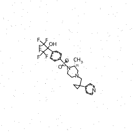 C[C@@H]1CN(CC2(c3ccncc3)CC2)CCN1S(=O)(=O)c1ccc(C(O)(C(F)(F)F)C(F)(F)F)cc1